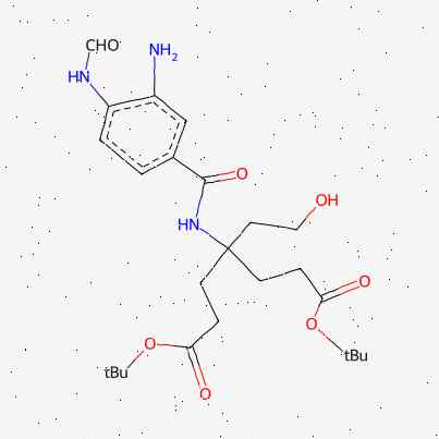 CC(C)(C)OC(=O)CCC(CCO)(CCC(=O)OC(C)(C)C)NC(=O)c1ccc(NC=O)c(N)c1